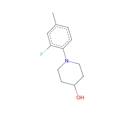 Cc1ccc(N2CCC(O)CC2)c(F)c1